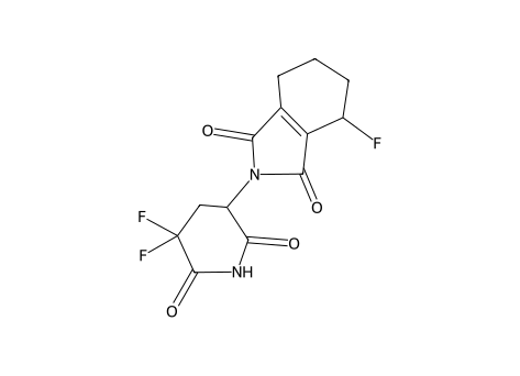 O=C1NC(=O)C(F)(F)CC1N1C(=O)C2=C(C1=O)C(F)CCC2